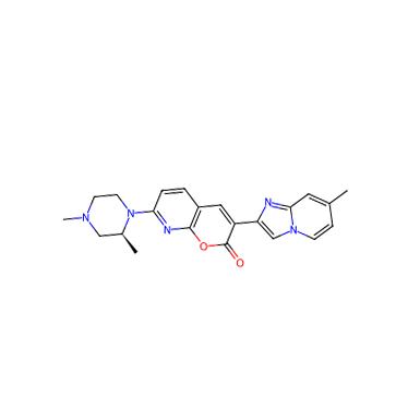 Cc1ccn2cc(-c3cc4ccc(N5CCN(C)C[C@@H]5C)nc4oc3=O)nc2c1